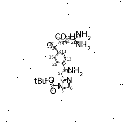 CC(C)(C)OC(=O)n1ccnc1CC(N)c1ccc(C(=O)C(CCC(N)N)C(=O)O)cc1